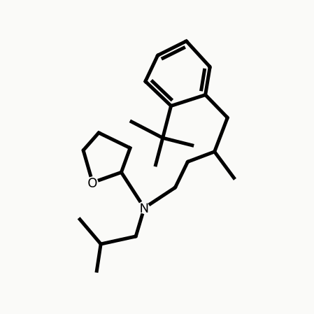 CC(C)CN(CCC(C)Cc1ccccc1C(C)(C)C)C1CCCO1